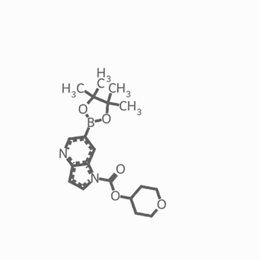 CC1(C)OB(c2cnc3ccn(C(=O)OC4CCOCC4)c3c2)OC1(C)C